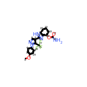 COc1ccc(-n2ncc(-c3nc4c(OC(N)=O)cccc4[nH]3)c2C(F)(F)F)cc1